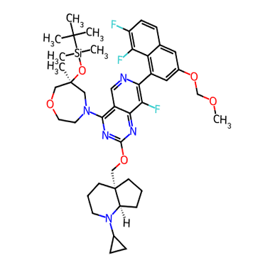 COCOc1cc(-c2ncc3c(N4CCOC[C@@](C)(O[Si](C)(C)C(C)(C)C)C4)nc(OC[C@]45CCC[C@H]4N(C4CC4)CCC5)nc3c2F)c2c(F)c(F)ccc2c1